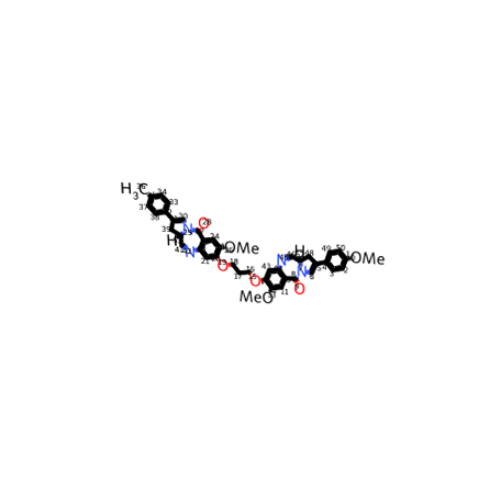 COc1ccc(C2=CN3C(=O)c4cc(OC)c(OCCCOc5cc6c(cc5OC)C(=O)N5C=C(c7ccc(C)cc7)C[C@H]5C=N6)cc4N=C[C@@H]3C2)cc1